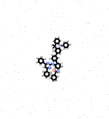 CC1(C)c2ccccc2N(c2ccccc2)c2ccc(-c3ccc4c(c3)c3ccc5nc(-c6ccccc6)oc5c3n4-c3nc(-c4ccccc4)cc(-c4ccccc4)n3)cc21